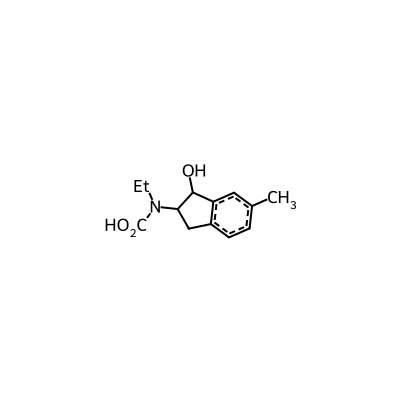 CCN(C(=O)O)C1Cc2ccc(C)cc2C1O